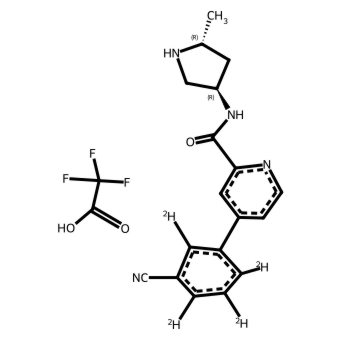 O=C(O)C(F)(F)F.[2H]c1c([2H])c(C#N)c([2H])c(-c2ccnc(C(=O)N[C@H]3CN[C@H](C)C3)c2)c1[2H]